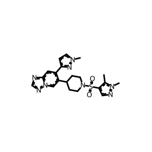 Cc1c(S(=O)(=O)N2CCC(c3cn4ncnc4cc3-c3ccn(C)n3)CC2)cnn1C